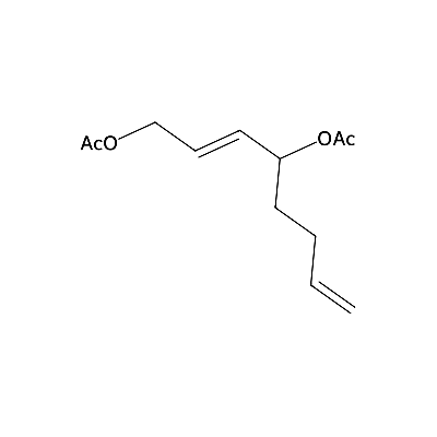 C=CCCC(C=CCOC(C)=O)OC(C)=O